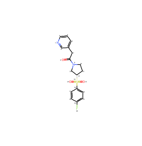 O=C(Cc1cccnc1)N1CC[C@H](S(=O)(=O)c2ccc(F)cc2)C1